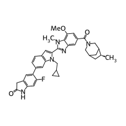 COc1cc(C(=O)N2CC3CC(C2)[C@@H](C)C3)cc2nc(-c3cc4ccc(-c5cc6c(cc5F)NC(=O)C6)cc4n3CC3CC3)n(C)c12